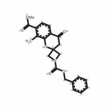 COC(=O)c1ccc2c(c1C)OC1(CC2=O)CN(C(=O)OCc2ccccc2)C1